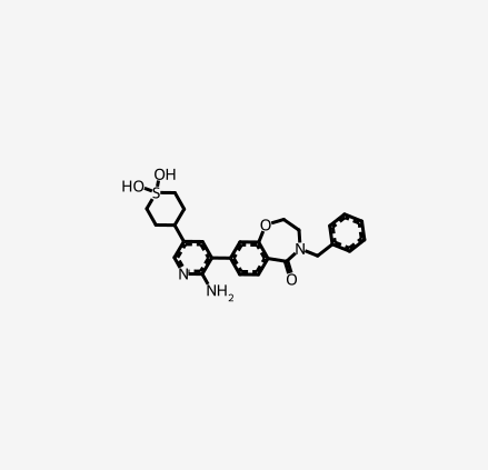 Nc1ncc(C2CCS(O)(O)CC2)cc1-c1ccc2c(c1)OCCN(Cc1ccccc1)C2=O